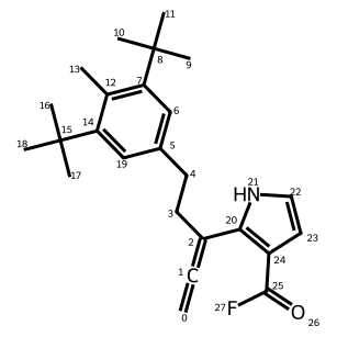 C=C=C(CCc1cc(C(C)(C)C)c(C)c(C(C)(C)C)c1)c1[nH]ccc1C(=O)F